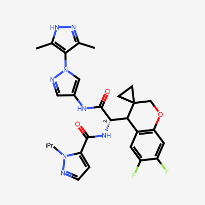 Cc1n[nH]c(C)c1-n1cc(NC(=O)[C@@H](NC(=O)c2ccnn2C(C)C)C2c3cc(F)c(F)cc3OCC23CC3)cn1